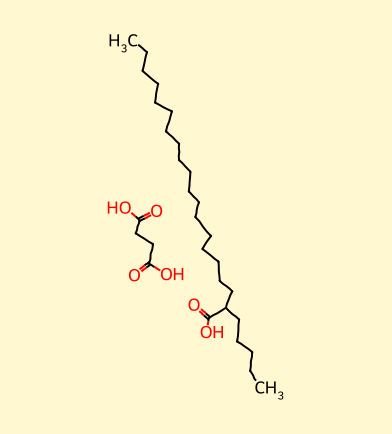 CCCCCCCCCCCCCCCCCCC(CCCCC)C(=O)O.O=C(O)CCC(=O)O